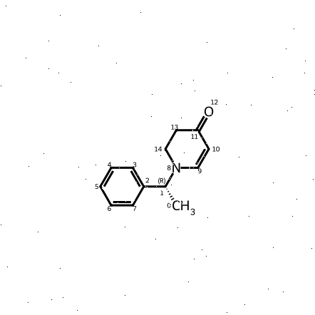 C[C@H](c1ccccc1)N1C=CC(=O)CC1